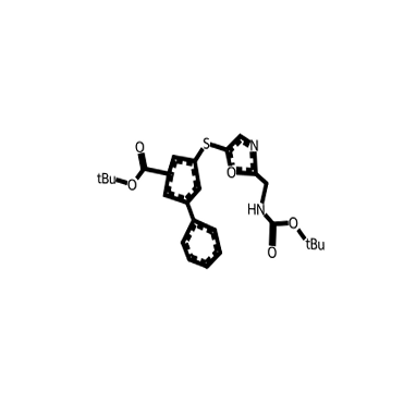 CC(C)(C)OC(=O)NCc1ncc(Sc2cc(C(=O)OC(C)(C)C)cc(-c3ccccc3)c2)o1